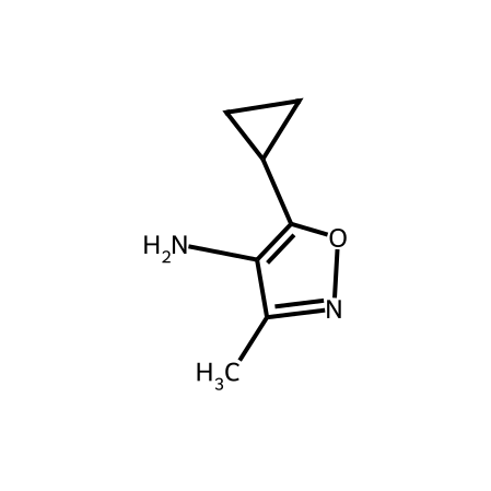 Cc1noc(C2CC2)c1N